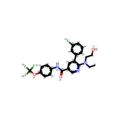 CCN(CCO)c1ncc(C(=O)Nc2ccc(OC(F)(F)F)cc2)cc1-c1cccc(F)c1